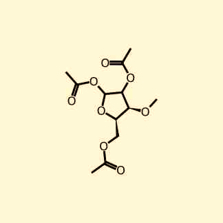 CO[C@@H]1C(OC(C)=O)C(OC(C)=O)O[C@@H]1COC(C)=O